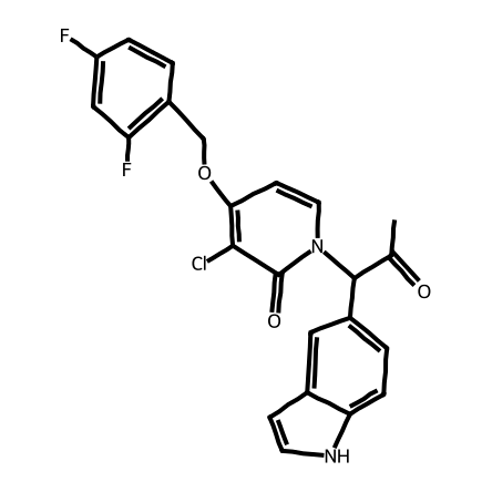 CC(=O)C(c1ccc2[nH]ccc2c1)n1ccc(OCc2ccc(F)cc2F)c(Cl)c1=O